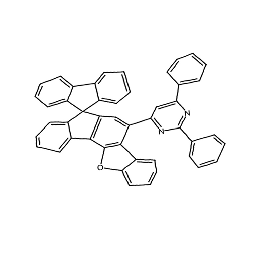 c1ccc(-c2cc(-c3cc4c(c5oc6ccccc6c35)-c3ccccc3C43c4ccccc4-c4ccccc43)nc(-c3ccccc3)n2)cc1